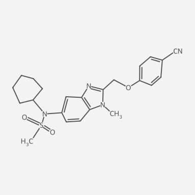 Cn1c(COc2ccc(C#N)cc2)nc2cc(N(C3CCCCC3)S(C)(=O)=O)ccc21